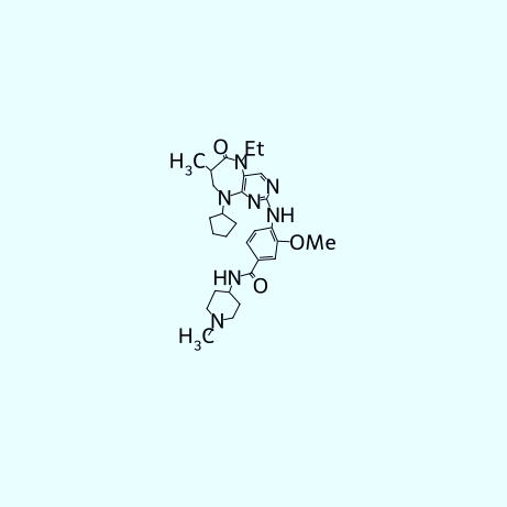 CCN1C(=O)C(C)CN(C2CCCC2)c2nc(Nc3ccc(C(=O)NC4CCN(C)CC4)cc3OC)ncc21